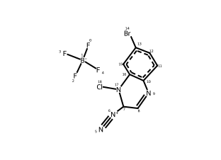 F[B-](F)(F)F.N#[N+]C1C=Nc2ccc(Br)cc2N1Cl